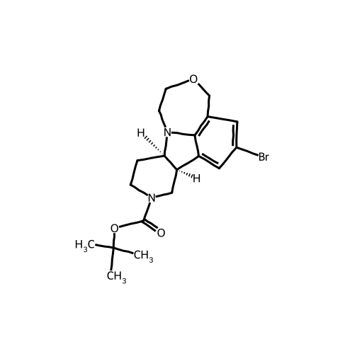 CC(C)(C)OC(=O)N1CC[C@@H]2[C@H](C1)c1cc(Br)cc3c1N2CCOC3